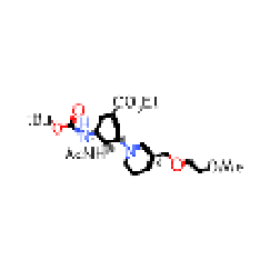 CCOC(=O)C1=C[C@@H](N2CCC[C@H](COCCOC)C2)[C@H](NC(C)=O)[C@@H](NC(=O)OC(C)(C)C)C1